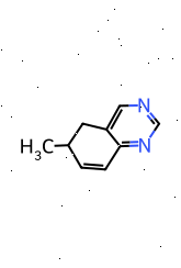 CC1C=Cc2ncncc2C1